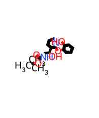 CC(C)(C)OC(=O)NCC(O)c1cccnc1Oc1ccccc1O